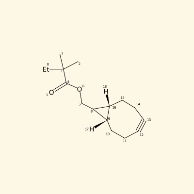 CCC(C)(C)C(=O)OCC1[C@H]2CCC#CCC[C@@H]12